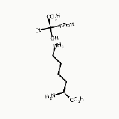 CCCCCC(O)(CC)C(=O)O.NCCCC[C@H](N)C(=O)O